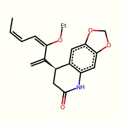 C=C(/C(=C\C=C/C)OCC)[C@@H]1CC(=O)Nc2cc3c(cc21)OCO3